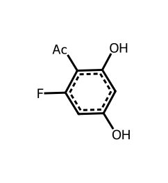 CC(=O)c1c(O)cc(O)cc1F